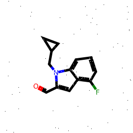 O=Cc1cc2c(F)cccc2n1CC1CC1